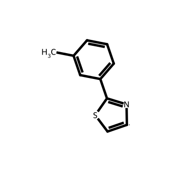 Cc1cccc(-c2n[c]cs2)c1